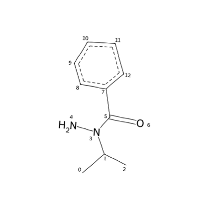 CC(C)N(N)C(=O)c1ccccc1